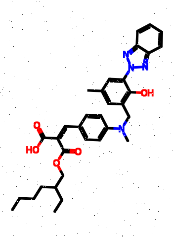 CCCCC(CC)COC(=O)C(=Cc1ccc(N(C)Cc2cc(C)cc(-n3nc4ccccc4n3)c2O)cc1)C(=O)O